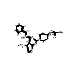 Cc1csc2nc(N3CCC(OC(=O)O)CC3)nc(NCc3ccccc3)c12